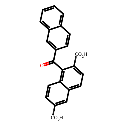 O=C(O)c1ccc2c(C(=O)c3ccc4ccccc4c3)c(C(=O)O)ccc2c1